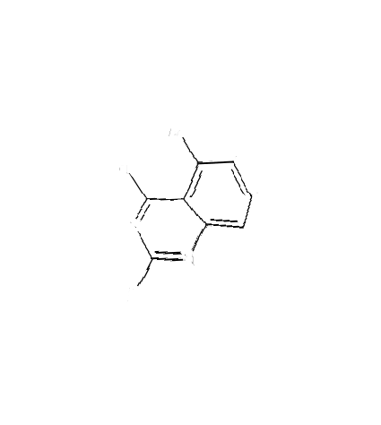 Clc1nc(Br)nc2cccc(Br)c12